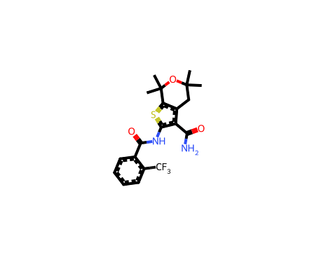 CC1(C)Cc2c(sc(NC(=O)c3ccccc3C(F)(F)F)c2C(N)=O)C(C)(C)O1